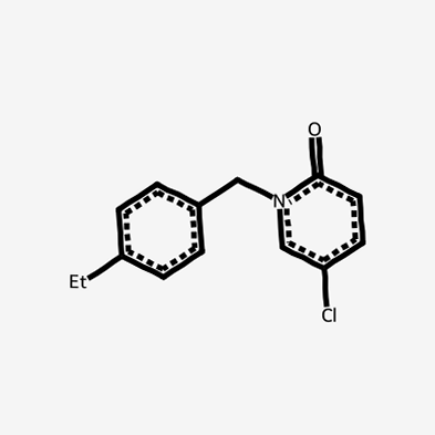 CCc1ccc(Cn2cc(Cl)ccc2=O)cc1